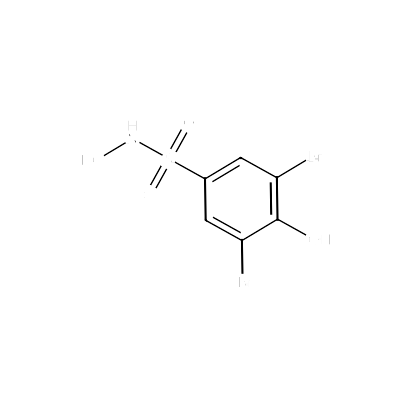 CNS(=O)(=O)c1cc(Br)c(O)c(Br)c1